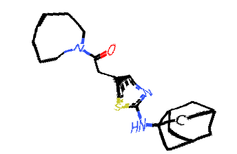 O=C(Cc1cnc(NC23CC4CC(CC2C4)C3)s1)N1CCCCCCC1